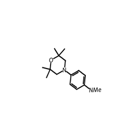 CNc1ccc(N2CC(C)(C)OC(C)(C)C2)cc1